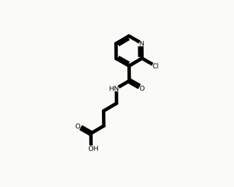 O=C(O)CCCNC(=O)c1cccnc1Cl